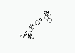 Cc1cc(COc2ccc(C3CC(CCO[Si](C)(C)C(C)(C)C)=NO3)cc2)c2ccccc2n1